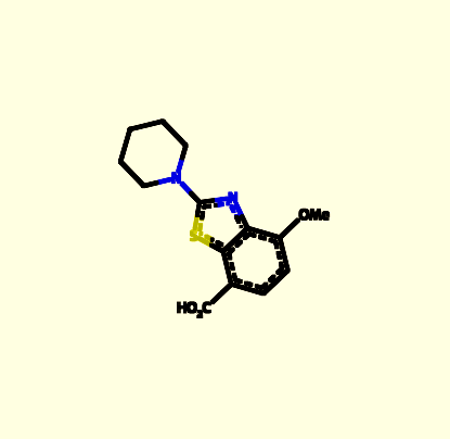 COc1ccc(C(=O)O)c2sc(N3CCCCC3)nc12